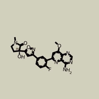 COc1cc(-c2cc(-c3cc([C@]4(O)CCN(C)C4=O)on3)ccc2F)nc2c(N)ncnc12